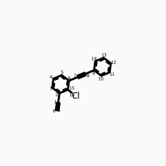 [C]#Cc1cccc(C#Cc2ccccc2)c1Cl